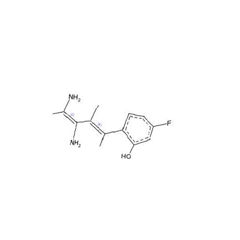 C/C(N)=C(N)/C(C)=C(\C)c1ccc(F)cc1O